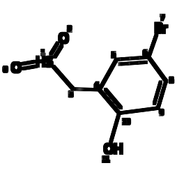 O=[SH](=O)Cc1cc(Br)ccc1O